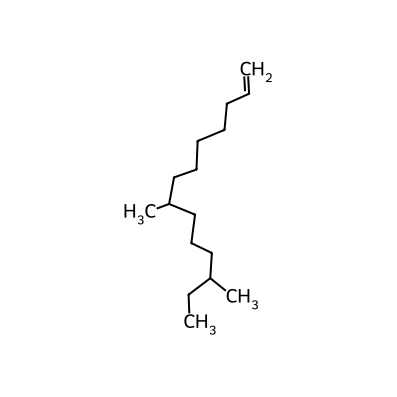 C=CCCCCCC(C)CCCC(C)CC